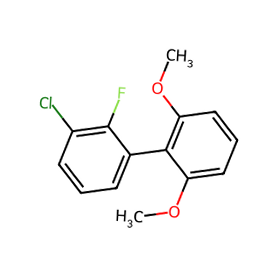 COc1cccc(OC)c1-c1cccc(Cl)c1F